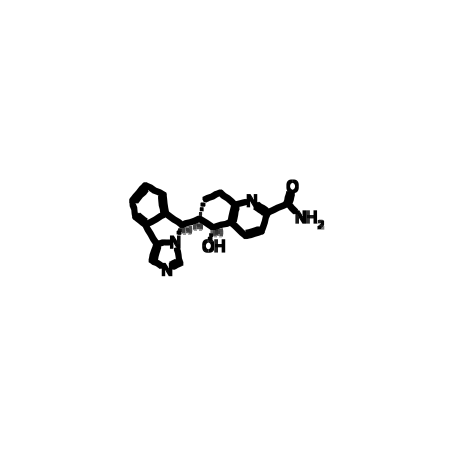 NC(=O)c1ccc2c(n1)CC[C@@H]([C@H]1c3ccccc3-c3cncn31)[C@H]2O